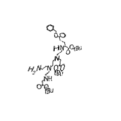 CC(C)(C)OC(=O)CNCCN(CCN)CCN(CCNC(CCC(=O)OCc1ccccc1)C(=O)OC(C)(C)C)CC(=O)OC(C)(C)C